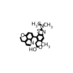 Cc1cc2nc(N(C)C)sc2c(-c2ccc3c4c(ccnc24)CCO3)c1CC(=O)O